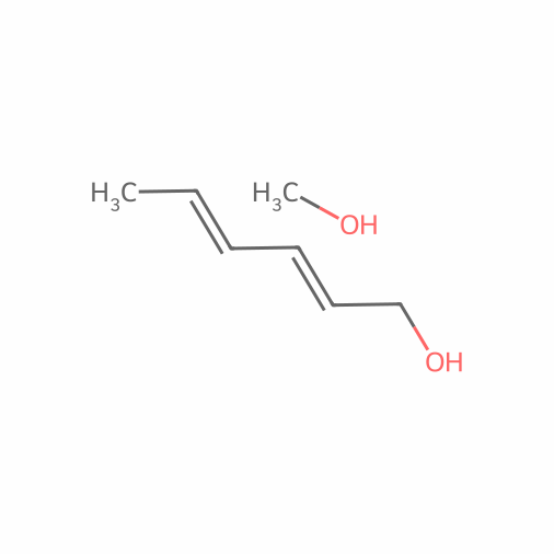 C/C=C/C=C/CO.CO